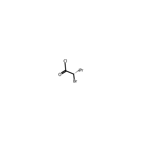 CC(C)[C@H](Br)C(=O)Cl